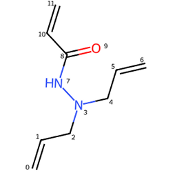 C=CCN(CC=C)NC(=O)C=C